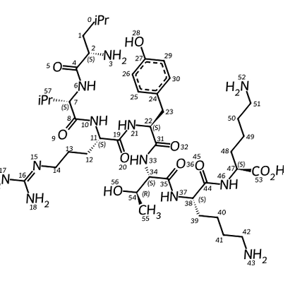 CC(C)C[C@H](N)C(=O)N[C@H](C(=O)N[C@@H](CCCN=C(N)N)C(=O)N[C@@H](Cc1ccc(O)cc1)C(=O)N[C@H](C(=O)N[C@@H](CCCCN)C(=O)N[C@@H](CCCCN)C(=O)O)[C@@H](C)O)C(C)C